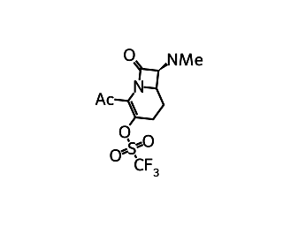 CN[C@@H]1C(=O)N2C(C(C)=O)=C(OS(=O)(=O)C(F)(F)F)CCC12